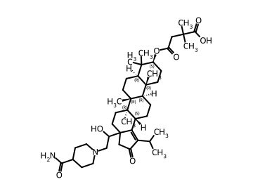 CC(C)C1=C2[C@H]3CC[C@@H]4[C@@]5(C)CC[C@H](OC(=O)CC(C)(C)C(=O)O)C(C)(C)[C@@H]5CC[C@@]4(C)[C@]3(C)CCC2(C(O)CN2CCC(C(N)=O)CC2)CC1=O